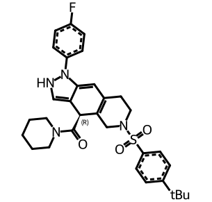 CC(C)(C)c1ccc(S(=O)(=O)N2CCC3=C(C2)[C@@H](C(=O)N2CCCCC2)C2=CNN(c4ccc(F)cc4)C2=C3)cc1